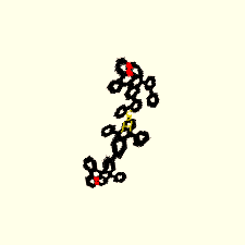 c1ccc(-c2cccc(-c3c4ccccc4c(-c4ccccc4-c4ccccc4)c4ccc(-c5cccc6c5-c5ccccc5[SH]6c5ccc6c(-c7ccccc7)c7ccc(-c8ccc9c(-c%10ccccc%10-c%10ccccc%10)c%10ccccc%10c(-c%10ccccc%10)c9c8)cc7c(-c7ccccc7)c6c5)cc34)c2)cc1